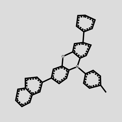 Cc1ccc(N2c3ccc(-c4ccccc4)cc3Oc3cc(-c4ccc5ccccc5c4)ccc32)cc1